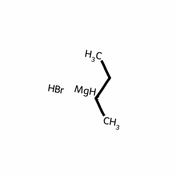 Br.CCCC.[MgH2]